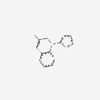 O=C(O)C1=Cc2cccnc2N(c2nccs2)C1